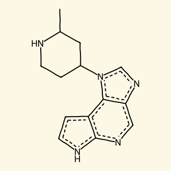 CC1CC(n2cnc3cnc4[nH]ccc4c32)CCN1